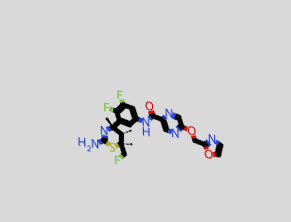 C[C@@H]1[C@@](C)(CF)SC(N)=N[C@]1(C)c1cc(NC(=O)c2cnc(OCc3ncco3)cn2)cc(F)c1F